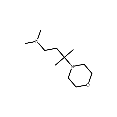 CN(C)CCC(C)(C)N1CCOCC1